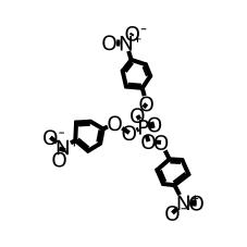 O=[N+]([O-])c1ccc(OOP(=O)(OOc2ccc([N+](=O)[O-])cc2)OOc2ccc([N+](=O)[O-])cc2)cc1